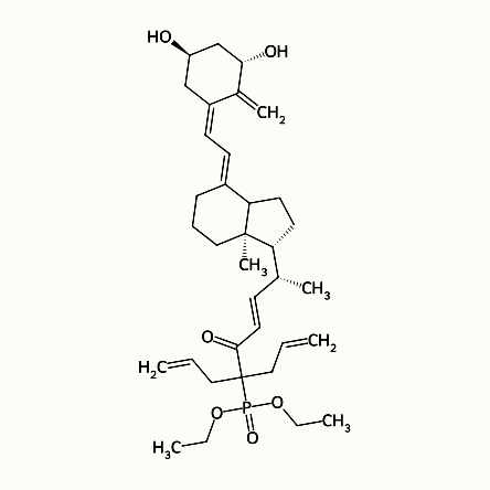 C=CCC(CC=C)(C(=O)/C=C/[C@@H](C)[C@H]1CCC2/C(=C/C=C3/C[C@@H](O)C[C@H](O)C3=C)CCC[C@@]21C)P(=O)(OCC)OCC